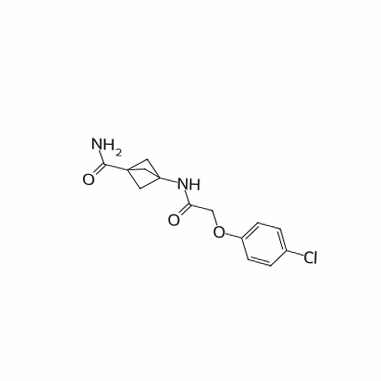 NC(=O)C12CC(NC(=O)COc3ccc(Cl)cc3)(C1)C2